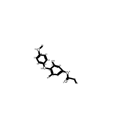 CCC(=O)Oc1cc(I)c(Oc2ccc(OC)cc2)c(I)c1